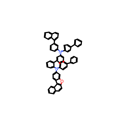 c1ccc(-c2ccc(N(c3cccc(-c4ccccc4N(c4ccc(-c5ccccc5)cc4)c4ccc5c(c4)oc4ccc6ccccc6c45)c3)c3cccc(-c4cccc5ccccc45)c3)cc2)cc1